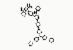 CC1(C)c2ccccc2-c2cc3c4cc(-c5ccc(-c6ccc(N(c7ccc(-c8ccccc8)cc7)c7ccc(-c8ccccc8)cc7)cc6)cc5)ccc4n(-c4ccccc4)c3cc21